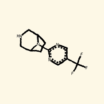 FC(F)(F)c1cnc(N2C3CCC2CNC3)nc1